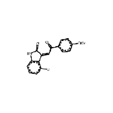 COc1ccc(C(=O)C=C2C(=O)Nc3cccc(Cl)c32)cc1